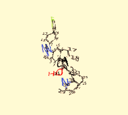 C[C@]12Cc3cnn(-c4ccc(F)cc4)c3C=C1CC[C@@H]2[C@H](O)c1cccc2cccnc12